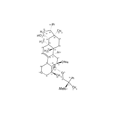 CN[C@@](C)(CO[C@H]1[C@H](OC)C[C@@]23COC[C@]1(C)[C@@H]2CC[C@H]1C3=CC[C@@]2(C)[C@H](C(=O)O)[C@@](C)([C@H](C)C(C)C)CC[C@]12C)C(C)C